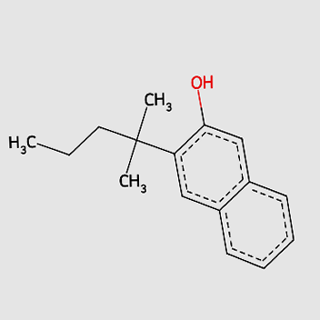 CCCC(C)(C)c1cc2ccccc2cc1O